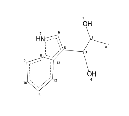 [CH2]C(O)C(O)c1c[nH]c2ccccc12